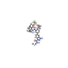 [2H]C([2H])([2H])Oc1ncc(-c2ccc3c(C(=O)NC)n[nH]c3c2)cc1C(=O)NC(c1cc(OC(F)(F)F)ccc1F)C([2H])([2H])[2H]